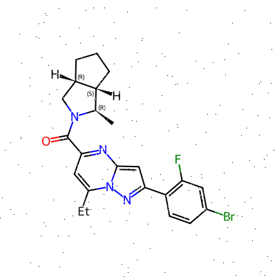 CCc1cc(C(=O)N2C[C@@H]3CCC[C@@H]3[C@H]2C)nc2cc(-c3ccc(Br)cc3F)nn12